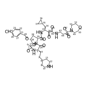 CS(=O)(=O)N[C@H](CCC1CCNCC1)C(=O)N1C[C@H](OCc2ccc(Cl)cc2)C[C@H]1C(=O)N[C@@H](CC1CC1)C(=O)C(=O)NCCS(=O)(=O)N1CCOCC1